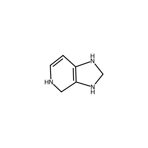 C1=CC2=C(CN1)NCN2